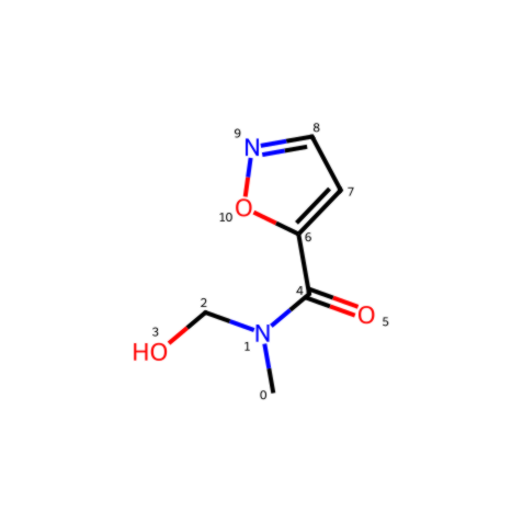 CN(CO)C(=O)c1ccno1